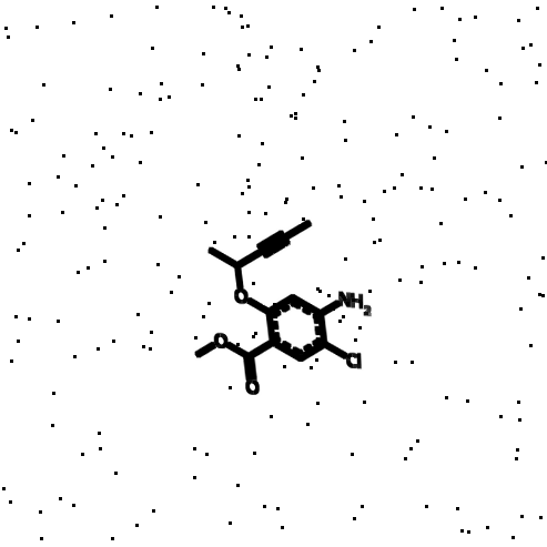 CC#CC(C)Oc1cc(N)c(Cl)cc1C(=O)OC